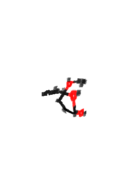 CCCCCC1(OCC)CCC(=O)O1